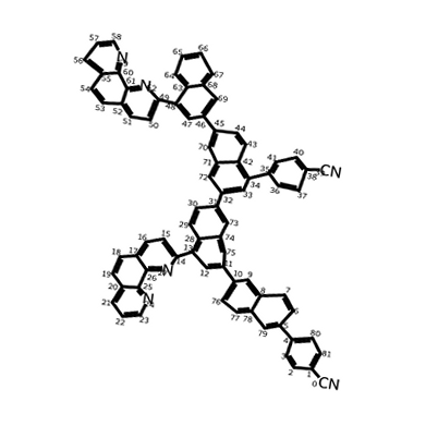 N#Cc1ccc(-c2ccc3cc(-c4cc(-c5ccc6ccc7cccnc7c6n5)c5ccc(-c6cc(-c7ccc(C#N)cc7)c7ccc(-c8cc(-c9ccc%10ccc%11cccnc%11c%10n9)c9ccccc9c8)cc7c6)cc5c4)ccc3c2)cc1